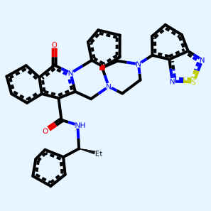 CC[C@H](NC(=O)c1c(CN2CCN(c3cccc4nsnc34)CC2)n(-c2ccccc2)c(=O)c2ccccc12)c1ccccc1